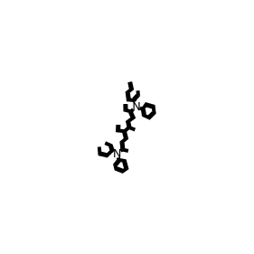 C=C/C=C\C(=C/C)N(/C(C=C)=C/C=C(C)/C(C=C)=C/C=C(\C)N(C(/C=C\C)=C/C)c1ccccc1)c1ccccc1